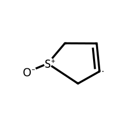 [O-][S+]1C[C]=CC1